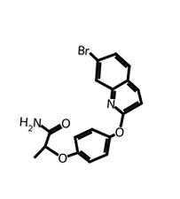 CC(Oc1ccc(Oc2ccc3ccc(Br)cc3n2)cc1)C(N)=O